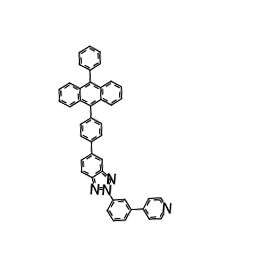 c1ccc(-c2c3ccccc3c(-c3ccc(-c4ccc5nn(-c6cccc(-c7ccncc7)c6)nc5c4)cc3)c3ccccc23)cc1